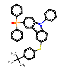 CC(C)(C)c1ccc(Sc2ccc3c(c2)c2cc(P(=O)(c4ccccc4)c4ccccc4)ccc2n3-c2ccccc2)cc1